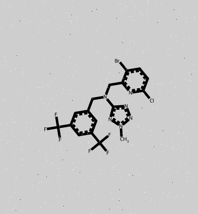 Cn1nnc(N(Cc2cc(C(F)(F)F)cc(C(F)(F)F)c2)Cc2nc(Cl)ccc2Br)n1